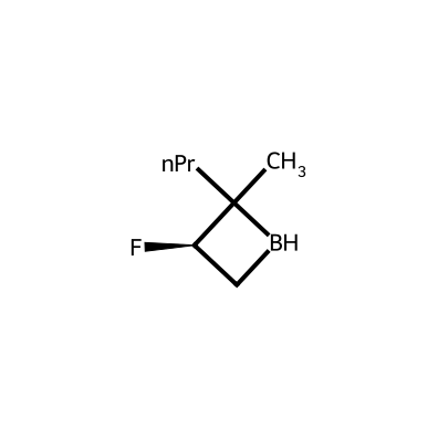 CCCC1(C)BC[C@H]1F